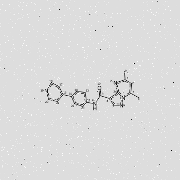 Cc1cc(C)n2ncc(C(=O)Nc3ccc(-c4ccncc4)cc3)c2n1